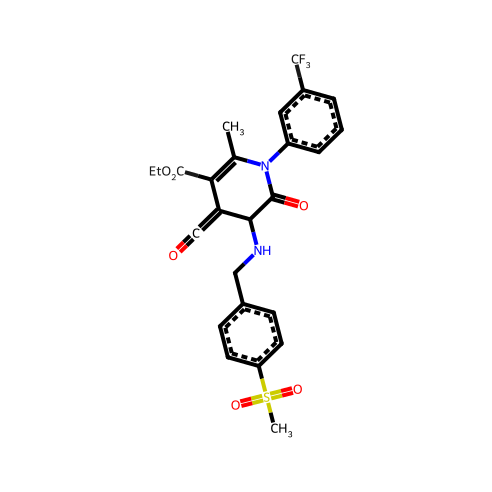 CCOC(=O)C1=C(C)N(c2cccc(C(F)(F)F)c2)C(=O)C(NCc2ccc(S(C)(=O)=O)cc2)C1=C=O